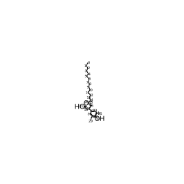 CCCCCCCCCCCCCCCCCC(CC(=O)O)c1cc(C)c(O)c(C)c1